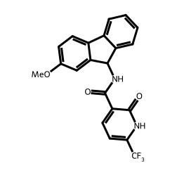 COc1ccc2c(c1)C(NC(=O)c1ccc(C(F)(F)F)[nH]c1=O)c1ccccc1-2